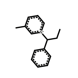 CCC(c1ccccc1)[n+]1cccc(C)c1